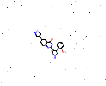 COc1ccccc1[C@@H]1CNC[C@H]1c1nc(O)c2cc(C3C=NNC3)ccc2n1